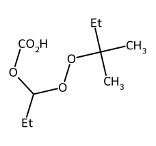 CCC(OOC(C)(C)CC)OC(=O)O